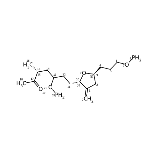 C=C1C[C@H](CCCOP)O[C@H]1CCC(C[C@@H](C)C(C)=O)OP